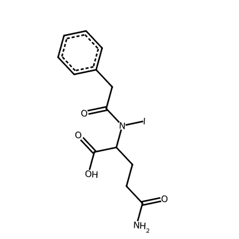 NC(=O)CCC(C(=O)O)N(I)C(=O)Cc1ccccc1